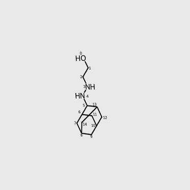 OCCNNC1C2CC3CC(C2)CC1C3